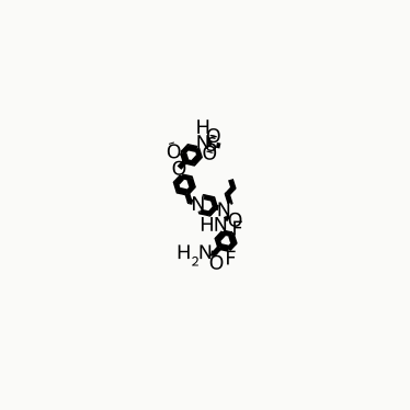 CCCCN(C(=O)Nc1cc(C(N)=O)c(F)cc1F)C1CCN(Cc2ccc(Oc3ccc(NS(C)(=O)=O)cc3OC)cc2)CC1